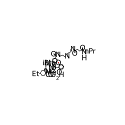 C=C1CC(CC)CCC1(NC(=O)c1cc(-c2c(OC)cccc2OC)n(-c2ccc(C(=O)N(C)CCCN(C)CCCN(C)C(=O)CCC(=O)NCCC)cc2C(C)C)n1)C(=O)O